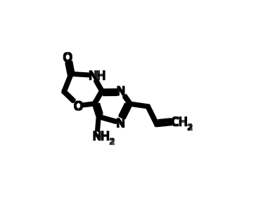 C=CCc1nc(N)c2c(n1)NC(=O)CO2